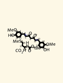 COc1cc(/C=C/C(=O)CC(=O)/C=C/c2ccc(O)c(OC)c2)ccc1O.CSCCC(NC(=O)OC(C)(C)C)C(=O)O